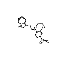 O=[N+]([O-])c1ccc2c(c1)OCCN2CCc1c[nH]c2ccccc12